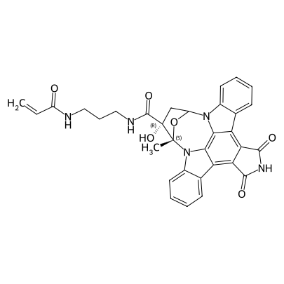 C=CC(=O)NCCCNC(=O)[C@@]1(O)CC2O[C@]1(C)n1c3ccccc3c3c4c(c5c6ccccc6n2c5c31)C(=O)NC4=O